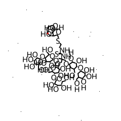 OCC1C[C@@H](OCC(CO[C@@H]2OC(CO)[C@@H](O[C@@H]3OC(CO)[C@H](O)[C@H](O)C3O)[C@H](O)C2O)(CO[C@@H]2OC(CO)[C@@H](O[C@@H]3OC(CO)[C@H](O)[C@H](O)C3O)[C@H](O)C2O)NC(=S)NCCSCC2O[C@@H]3OCCCCCC2[C@@H](O)C3O)C(O)[C@@H](O)[C@@H]1O[C@@H]1CC(CO)[C@H](O)[C@H](O)C1O